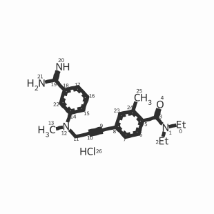 CCN(CC)C(=O)c1ccc(C#CCN(C)c2cccc(C(=N)N)c2)cc1C.Cl